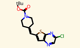 CC(C)(C)OC(=O)N1CCC(=Cc2cc3ncc(Cl)nc3s2)CC1